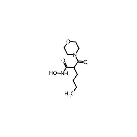 CCCCC(C(=O)NO)C(=O)N1CCOCC1